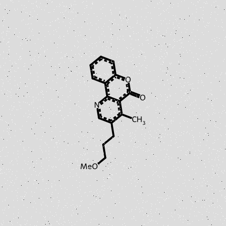 COCCCc1cnc2c(c1C)c(=O)oc1ccccc12